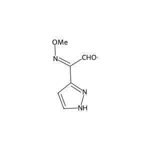 CON=C([C]=O)c1cc[nH]n1